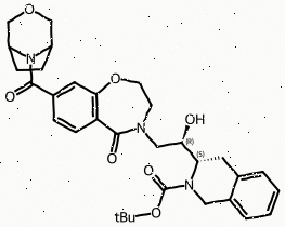 CC(C)(C)OC(=O)N1Cc2ccccc2C[C@H]1[C@H](O)CN1CCOc2cc(C(=O)N3C4CCC3COC4)ccc2C1=O